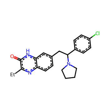 CCc1nc2ccc(CC(c3ccc(Cl)cc3)N3CCCC3)cc2[nH]c1=O